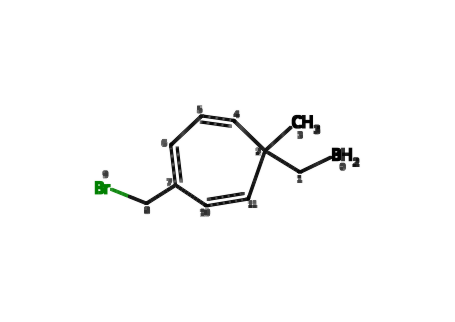 BCC1(C)C=CC=C(CBr)C=C1